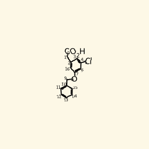 O=C(O)Cc1cc(Cl)cc(OCc2ccccc2)c1